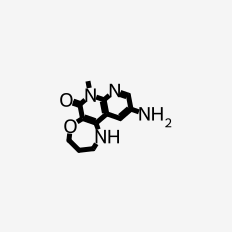 Cn1c(=O)c2c(c3cc(N)cnc31)NCCCO2